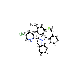 C#Cc1ccccc1CNC(Cc1ccccc1)(c1cc(F)cc(C(F)(F)F)c1)c1ccc(Cl)cn1